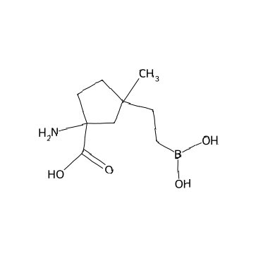 CC1(CCB(O)O)CCC(N)(C(=O)O)C1